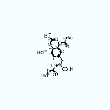 CC(C)(C)OC(=O)N[C@@H](Cc1ccc(OC(=O)C(C)(C)C)c(OC(=O)C(C)(C)C)c1)C(=O)O.Cl